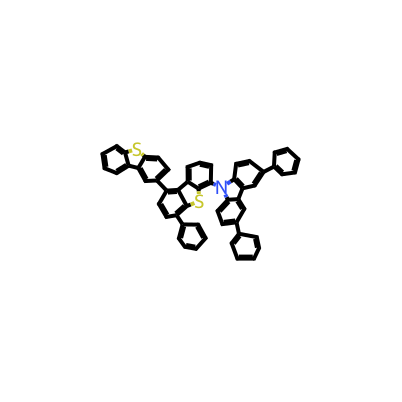 c1ccc(-c2ccc3c(c2)c2cc(-c4ccccc4)ccc2n3-c2cccc3c2sc2c(-c4ccccc4)ccc(-c4ccc5sc6ccccc6c5c4)c23)cc1